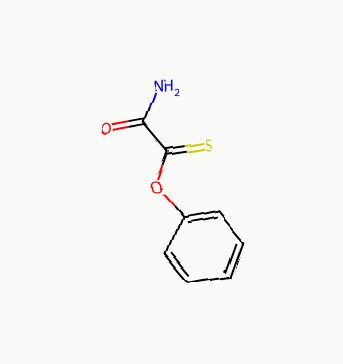 NC(=O)C(=S)Oc1ccccc1